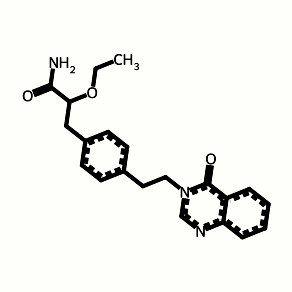 CCOC(Cc1ccc(CCn2cnc3ccccc3c2=O)cc1)C(N)=O